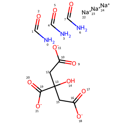 NC=O.NC=O.NC=O.O=C([O-])CC(O)(CC(=O)[O-])C(=O)[O-].[Na+].[Na+].[Na+]